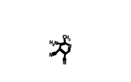 Cc1ncc(C#N)c(C#N)c1N